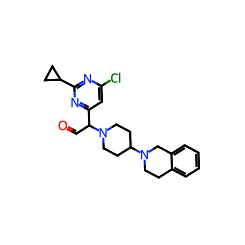 O=CC(c1cc(Cl)nc(C2CC2)n1)N1CCC(N2CCc3ccccc3C2)CC1